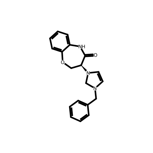 O=C1Nc2ccccc2OC[C@@H]1N1C=CN(Cc2ccccc2)C1